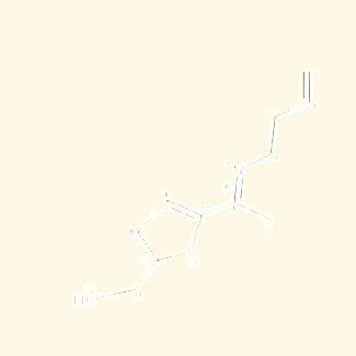 C=CCC/N=C(\C)C1=CCC(CO)S1